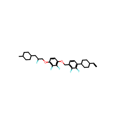 C=CC1CCC(c2ccc(COc3ccc(OCC(F)CC4CCC(C)CC4)c(F)c3F)c(F)c2F)CC1